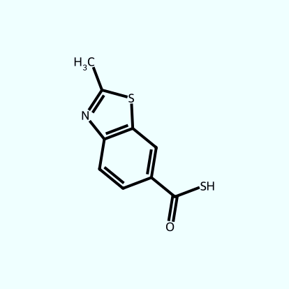 Cc1nc2ccc(C(=O)S)cc2s1